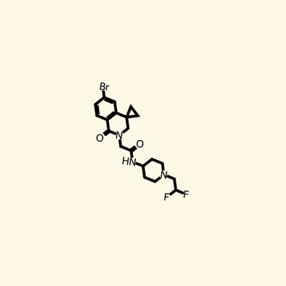 O=C(CN1CC2(CC2)c2cc(Br)ccc2C1=O)NC1CCN(CC(F)F)CC1